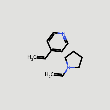 C=CN1CCCC1.C=Cc1ccncc1